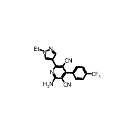 CCn1cc(-c2nc(N)c(C#N)c(-c3ccc(C(F)(F)F)cc3)c2C#N)cn1